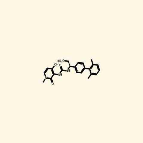 Cc1cccc(C)c1-c1ccc([C@H](CC(=O)O)NC(=O)Nc2c(O)ccn(C)c2=O)cc1